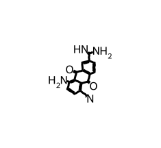 N#Cc1ccc(N)c2c1C(=O)c1ccc(C(=N)N)cc1C2=O